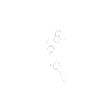 CCN1CCN(c2cnc(CCc3cc(-c4cc(F)c5nc(C)n(C(C)C)c5c4)c(F)cn3)nc2)CC1